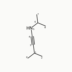 CC(C)C#CNC(C)C